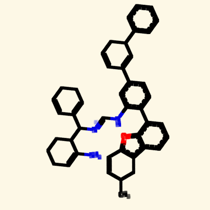 CC1C=Cc2oc3c(-c4ccc(C5=CC(c6ccccc6)CC=C5)cc4N/C=N/C(C4=CCCC=C4)C4CCCC=C4N)cccc3c2C1